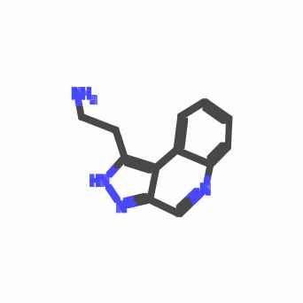 NCCc1[nH]nc2cnc3ccccc3c12